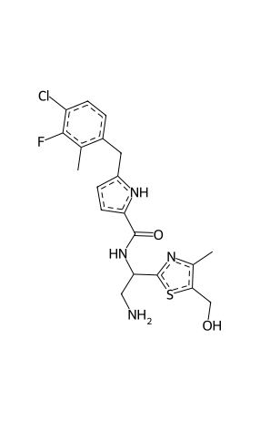 Cc1nc(C(CN)NC(=O)c2ccc(Cc3ccc(Cl)c(F)c3C)[nH]2)sc1CO